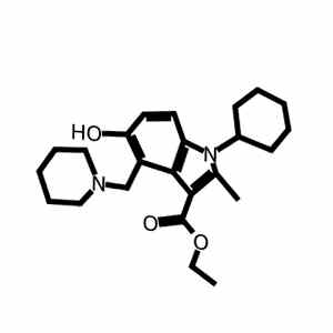 CCOC(=O)c1c(C)n(C2CCCCC2)c2ccc(O)c(CN3CCCCC3)c12